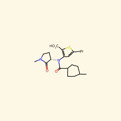 CC1CCC(C(=O)N(c2cc(C(C)C)sc2C(=O)O)[C@H]2CCN(C)C2=O)CC1